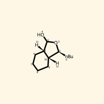 CCCC[C@@H]1OC(O)[C@H]2CCCC[C@@H]12